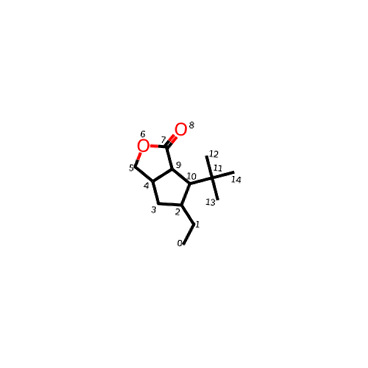 CCC1CC2COC(=O)C2C1C(C)(C)C